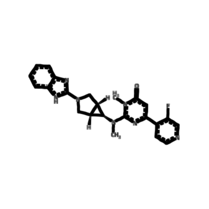 CN(c1nc(-c2ccncc2F)cc(=O)n1C)[C@H]1[C@@H]2CN(c3nc4ccccc4[nH]3)C[C@@H]21